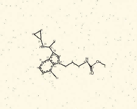 COC(=O)NCCCn1cc(C(C)NC2CC2)c2nccc(C)c21